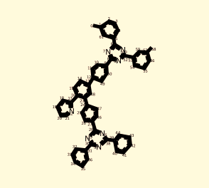 Cc1cccc(-c2nc(-c3ccc(-c4ccc(-c5ccccn5)c(-c5ccc(-c6nc(-c7ccccc7)nc(-c7ccccc7)n6)cc5)c4)cc3)nc(-c3cccc(C)c3)n2)c1